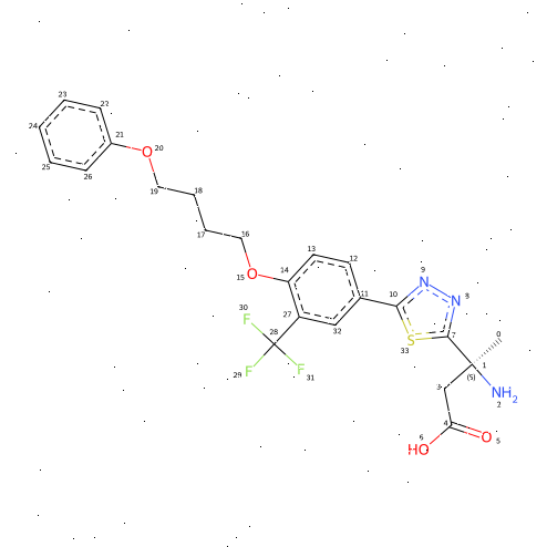 C[C@](N)(CC(=O)O)c1nnc(-c2ccc(OCCCCOc3ccccc3)c(C(F)(F)F)c2)s1